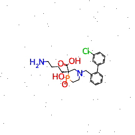 NCCCC[C@@]1(C(=O)O)CN(Cc2ccccc2-c2cccc(Cl)c2)CCP1(=O)O